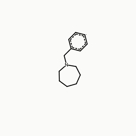 [c]1ccc(CN2CCCCCC2)cc1